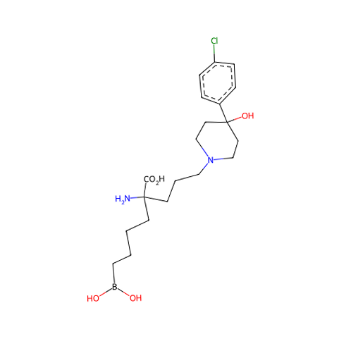 NC(CCCCB(O)O)(CCCN1CCC(O)(c2ccc(Cl)cc2)CC1)C(=O)O